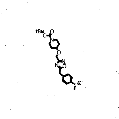 C[S+]([O-])c1ccc(Cc2nc(COC3CCN(C(=O)OC(C)(C)C)CC3)no2)cc1